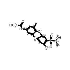 CCOC(=O)C(=O)Nc1cc(C)c(Oc2ccc(O)c(S(=O)(=O)N(O)CC)c2)c(Cl)c1